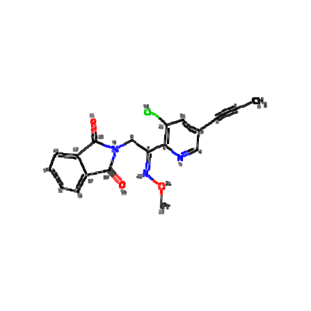 CC#Cc1cnc(C(CN2C(=O)c3ccccc3C2=O)=NOC(C)C)c(Cl)c1